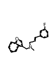 CN(C/C=C/c1cccc(F)c1)Cc1coc2ccccc12